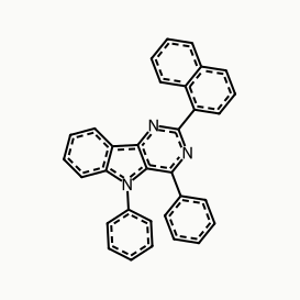 c1ccc(-c2nc(-c3cccc4ccccc34)nc3c4ccccc4n(-c4ccccc4)c23)cc1